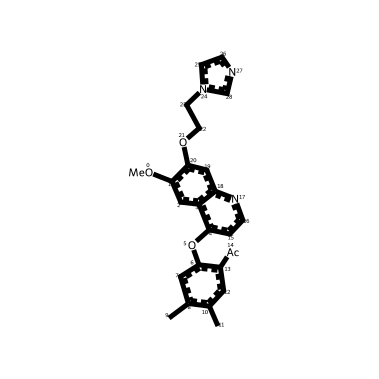 COc1cc2c(Oc3cc(C)c(C)cc3C(C)=O)ccnc2cc1OCCn1ccnc1